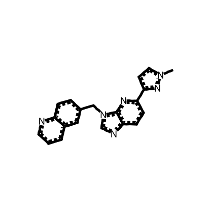 Cn1ccc(-c2ccc3ncn(Cc4ccc5ncccc5c4)c3n2)n1